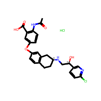 CC(=O)Nc1ccc(Oc2ccc3c(c2)C[C@@H](NC[C@@H](O)c2ccc(Cl)nc2)CC3)cc1C(=O)O.Cl